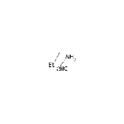 CCC.NC=O